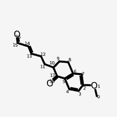 COc1ccc2c(c1)CCC(CCC=CC=O)C2=O